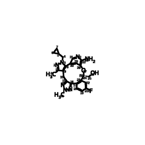 Cc1nn(CC2CC2)c2c1Cc1nn(C)nc1-c1ccc(F)cc1[C@@H](CO)Oc1cc-2cnc1N